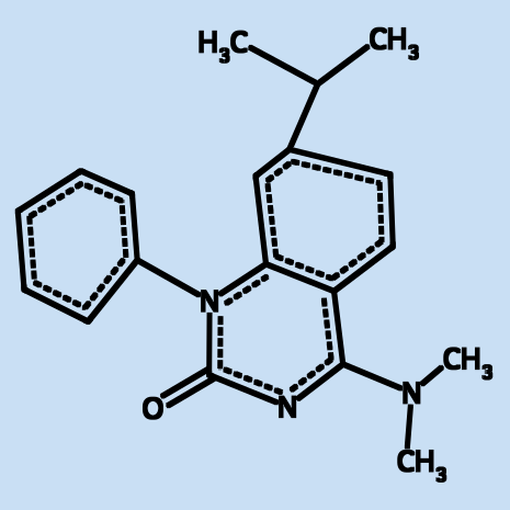 CC(C)c1ccc2c(N(C)C)nc(=O)n(-c3ccccc3)c2c1